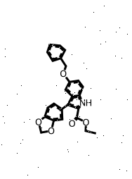 CCOC(=O)c1[nH]c2ccc(OCc3ccccc3)cc2c1-c1ccc2c(c1)OCO2